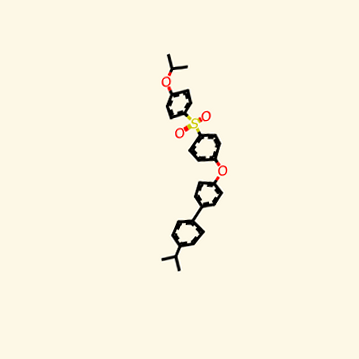 CC(C)Oc1ccc(S(=O)(=O)c2ccc(Oc3ccc(-c4ccc(C(C)C)cc4)cc3)cc2)cc1